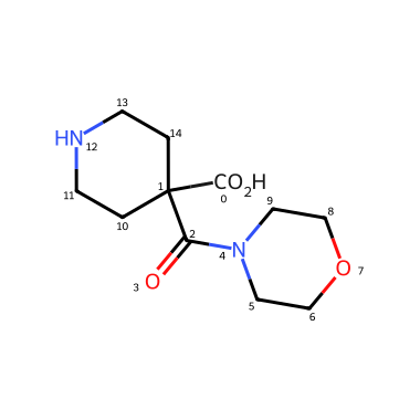 O=C(O)C1(C(=O)N2CCOCC2)CCNCC1